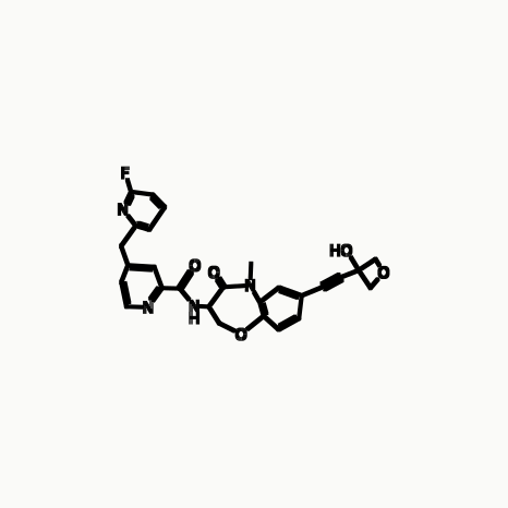 CN1C(=O)C(NC(=O)c2cc(Cc3cccc(F)n3)ccn2)COc2ccc(C#CC3(O)COC3)cc21